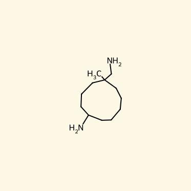 CC1(CN)CCCCCC(N)CCC1